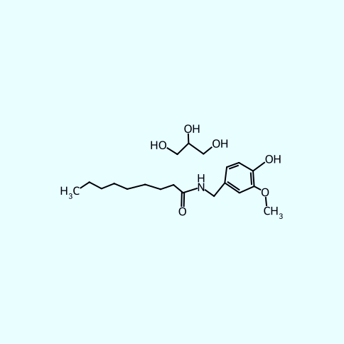 CCCCCCCCC(=O)NCc1ccc(O)c(OC)c1.OCC(O)CO